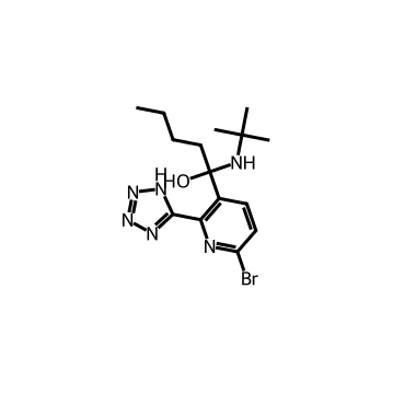 CCCCC(O)(NC(C)(C)C)c1ccc(Br)nc1-c1nnn[nH]1